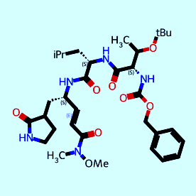 CON(C)C(=O)/C=C/[C@H](CC1CCNC1=O)NC(=O)[C@H](CC(C)C)NC(=O)[C@@H](NC(=O)OCc1ccccc1)C(C)OC(C)(C)C